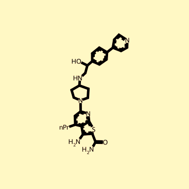 CCCc1cc(N2CCC(NCC(O)c3ccc(-c4ccncc4)cc3)CC2)nc2sc(C(N)=O)c(N)c12